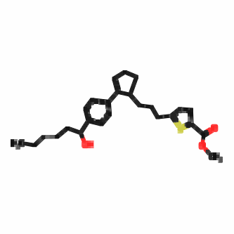 CCCCCC(O)c1ccc(C2=CCCC2CCCc2ccc(C(=O)OC)s2)cc1